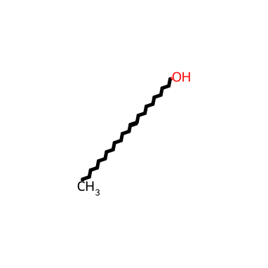 CCCCCCCCCCCCCC=CCCCCCCCCCO